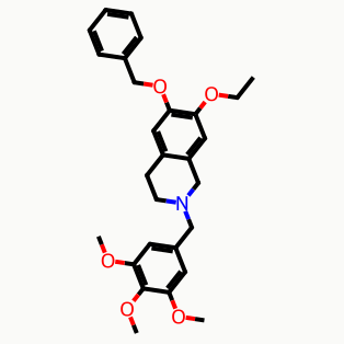 CCOc1cc2c(cc1OCc1ccccc1)CCN(Cc1cc(OC)c(OC)c(OC)c1)C2